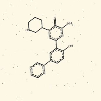 Nc1nc(-c2cc(-c3cnccn3)ccc2O)cn(C2CCCNC2)c1=O